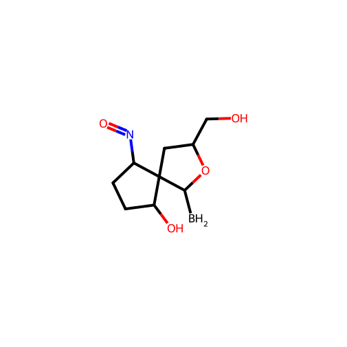 BC1OC(CO)CC12C(O)CCC2N=O